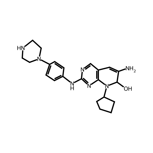 NC1=Cc2cnc(Nc3ccc(N4CCNCC4)cc3)nc2N(C2CCCC2)C1O